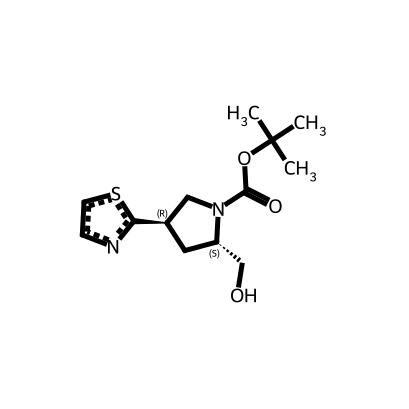 CC(C)(C)OC(=O)N1C[C@H](c2nccs2)C[C@H]1CO